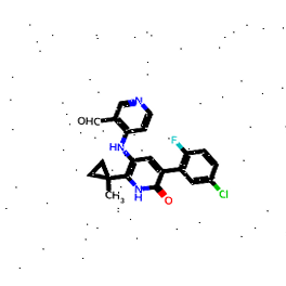 CC1(c2[nH]c(=O)c(-c3cc(Cl)ccc3F)cc2Nc2ccncc2C=O)CC1